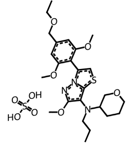 CCCN(c1c(OC)nn2c(-c3c(OC)cc(COCC)cc3OC)csc12)C1CCCOC1.O=S(=O)(O)O